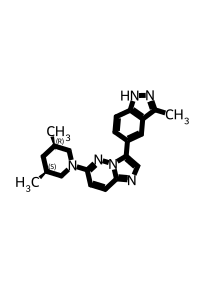 Cc1n[nH]c2ccc(-c3cnc4ccc(N5C[C@H](C)C[C@H](C)C5)nn34)cc12